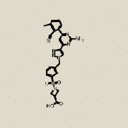 N#Cc1c(I)cccc1-c1cc(-c2cn(Cc3cccc(S(=O)(=O)N4CC(C(=O)O)C4)c3)nn2)nc(N)n1